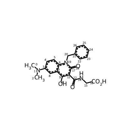 CN(C)c1ccc2c(c1)c(O)c(C(=O)NCC(=O)O)c(=O)n2Cc1ccccc1